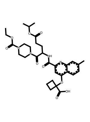 CCOC(=O)N1CCN(C(=O)C(CCC(=O)OC(C)C)NC(=O)c2cc(OC3(C(=O)O)CCC3)c3ccc(C)cc3n2)CC1